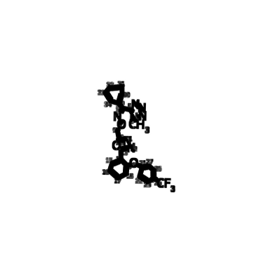 Cn1nnnc1/C(=N\OCc1nnc(-c2ccccc2Oc2ccc(C(F)(F)F)cc2)o1)c1ccccc1